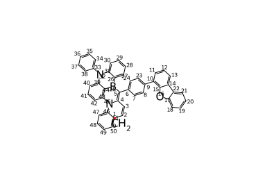 C=C/C=C\C1=C(c2ccc(-c3cccc4c3oc3ccccc34)cc2)B2c3ccccc3N(c3ccccc3)c3cccc(c32)N1c1ccccc1